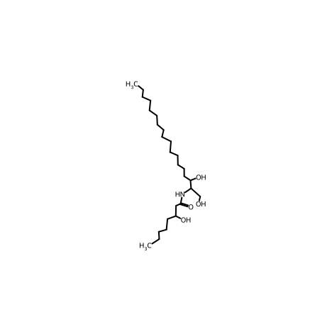 CCCCCCCCCCCCCCCC(O)C(CO)NC(=O)CC(O)CCCCC